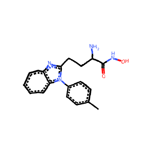 Cc1ccc(-n2c(CCC(N)C(=O)NO)nc3ccccc32)cc1